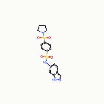 O=S(=O)(Nc1ccc2cn[nH]c2c1)c1ccc(S(=O)(=O)N2CCCC2)cc1